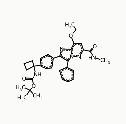 CCOc1cc(C(=O)NC)nn2c(-c3ccccc3)c(-c3ccc(C4(NC(=O)OC(C)(C)C)CCC4)cc3)nc12